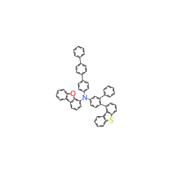 c1ccc(-c2ccc(-c3ccc(N(c4ccc(-c5cccc6sc7ccccc7c56)c(-c5ccccc5)c4)c4cccc5c4oc4ccccc45)cc3)cc2)cc1